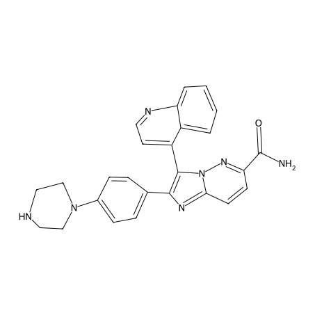 NC(=O)c1ccc2nc(-c3ccc(N4CCNCC4)cc3)c(-c3ccnc4ccccc34)n2n1